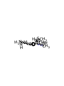 CCC/C(C)=C\C(C)=C\N(C(=O)N=C(C)C)c1ccc(CNCCCNC(=N)N)cc1